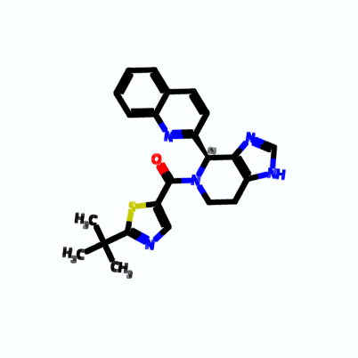 CC(C)(C)c1ncc(C(=O)N2CCc3[nH]cnc3[C@@H]2c2ccc3ccccc3n2)s1